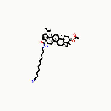 C=C(C)[C@@H]1CC[C@]2(C(=O)NCCCCCCCCCCC#N)CC[C@]3(C)[C@H](CCC4[C@@]5(C)CC[C@H](OC(C)=O)C(C)(C)[C@@H]5CC[C@]43C)[C@@H]12